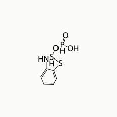 O=[PH](O)O[SH]1Nc2ccccc2S1